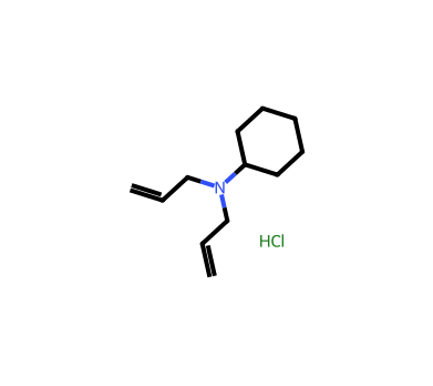 C=CCN(CC=C)C1CCCCC1.Cl